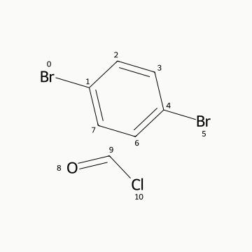 Brc1ccc(Br)cc1.O=CCl